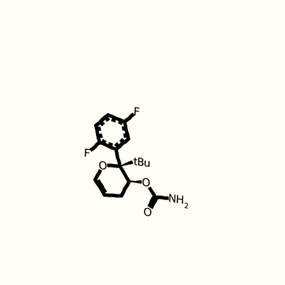 CC(C)(C)[C@]1(c2cc(F)ccc2F)OC=CC[C@@H]1OC(N)=O